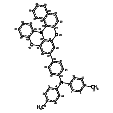 Cc1ccc(N(c2ccc(C)cc2)c2ccc(-c3cc4c5c(c3)Oc3ccc6ccccc6c3B5c3ccccc3O4)cc2)cc1